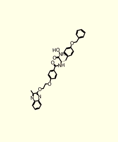 Cc1nc2ccccc2nc1OCCOc1ccc(C(=O)N[C@@H](Cc2ccc(OCc3ccccc3)cc2)C(=O)NO)cc1